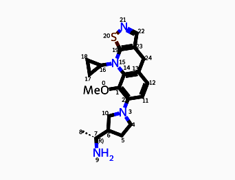 COc1c(N2CCC([C@@H](C)N)C2)ccc2c1N(C1CC1)c1sncc1C2